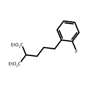 CCOC(=O)C(CCCc1ccccc1F)C(=O)OCC